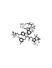 CC(C)(CC(=O)O)C(=O)N(c1nn(CC(F)(F)F)c2c(-c3ccc(CCC(C)(C)S(C)(=O)=O)nc3[C@H](Cc3cc(F)cc(F)c3)NC(=O)Cn3nc(C(F)(F)F)c4c3C(F)(F)C3C[C@H]43)ccc(Cl)c12)S(C)(=O)=O